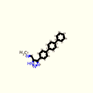 C/N=C/c1[nH]nnc1-c1ccc(-c2ccc(-c3ccccc3)cc2)cc1